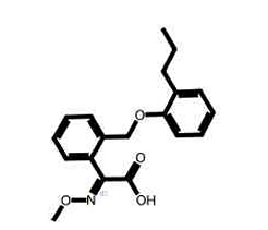 CCCc1ccccc1OCc1ccccc1/C(=N\OC)C(=O)O